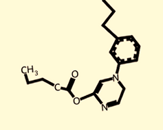 CCCCC(=O)OC1=CN(c2cccc(CCCC)c2)CC=N1